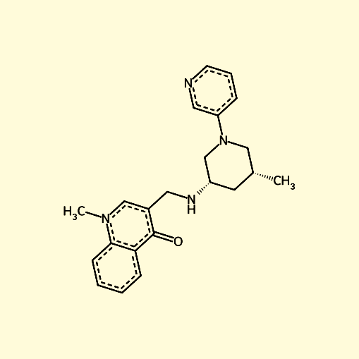 C[C@@H]1C[C@H](NCc2cn(C)c3ccccc3c2=O)CN(c2cccnc2)C1